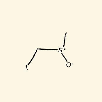 C[S+]([O-])CI